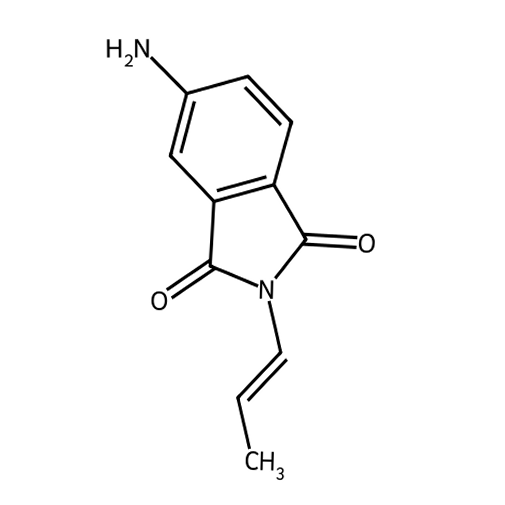 CC=CN1C(=O)c2ccc(N)cc2C1=O